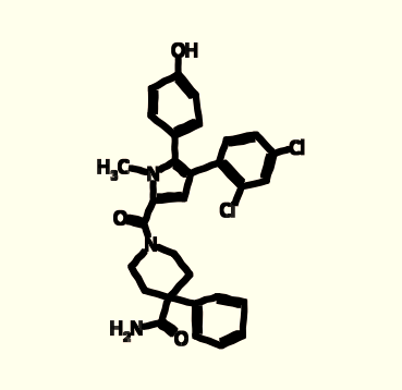 Cn1c(C(=O)N2CCC(C(N)=O)(c3ccccc3)CC2)cc(-c2ccc(Cl)cc2Cl)c1-c1ccc(O)cc1